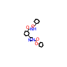 O=C(NOCc1ccccc1)c1cccc(-c2cn(C(=O)Oc3ccccc3)cn2)c1